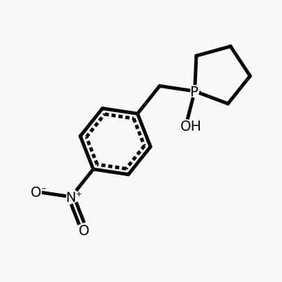 O=[N+]([O-])c1ccc(C[P]2(O)CCCC2)cc1